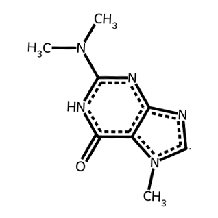 CN(C)c1nc2n[c]n(C)c2c(=O)[nH]1